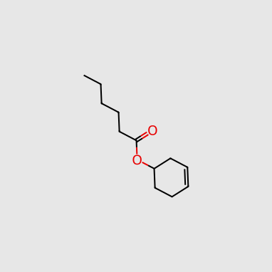 CCCCCC(=O)OC1CC=CCC1